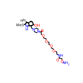 CCCc1c(SC)[nH]c2c(CN3CCN(C(=O)COCCOCCOCCOCCNC(=O)CON)CC3)c(O)ccc12